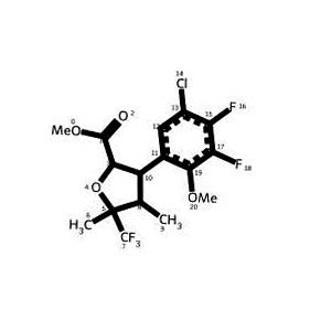 COC(=O)C1OC(C)(C(F)(F)F)C(C)C1c1cc(Cl)c(F)c(F)c1OC